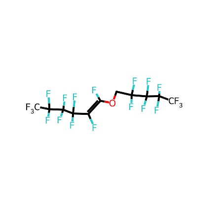 FC(OCC(F)(F)C(F)(F)C(F)(F)C(F)(F)F)=C(F)C(F)(F)C(F)(F)C(F)(F)C(F)(F)F